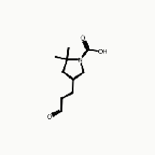 CC1(C)CC(CCC=O)CN1C(=O)O